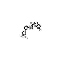 O=C(NS(=O)(=O)c1cccc(N2CCC(O)(C(F)(F)F)CC2)n1)C1(Oc2cc(Cl)ccc2I)CC1